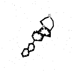 c1ccc2cc(-c3ccc4c(c3)cc3n4CCNCC3)ccc2c1